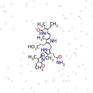 C=CC1=C(C)/C(=C/c2[nH]c(Cc3[nH]c(/C=C4\NC(=O)C(C)=C4C=C)c(C)c3CCC(=O)O)c(CCC(N)=O)c2C)NC1=O